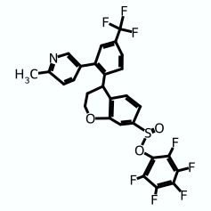 Cc1ccc(-c2cc(C(F)(F)F)ccc2C2CCOc3cc(S(=O)Oc4c(F)c(F)c(F)c(F)c4F)ccc32)cn1